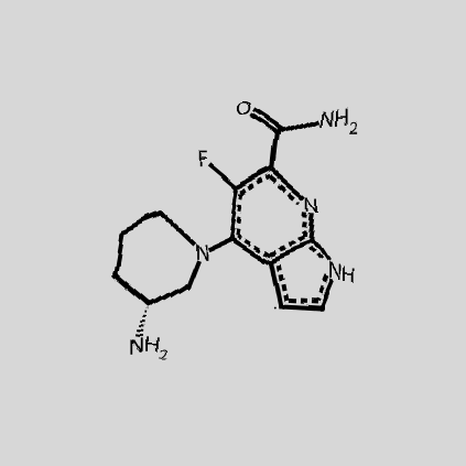 NC(=O)c1nc2[nH]c[c]c2c(N2CCC[C@@H](N)C2)c1F